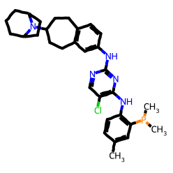 Cc1ccc(Nc2nc(Nc3ccc4c(c3)CCC(N3C5CCCC3CC5)CC4)ncc2Cl)c(P(C)C)c1